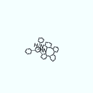 Nc1cccc2c1[nH]c1c(-c3cc(-c4ccccc4)cc(-c4ccccc4)c3)cccc1c1ccccc1c1ccccc21